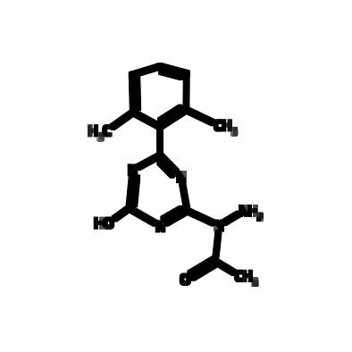 CC(=O)N(N)c1nc(O)nc(-c2c(C)cccc2C)n1